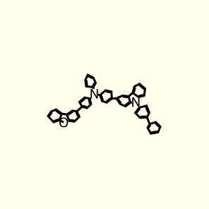 c1ccc(-c2ccc(-n3c4ccccc4c4cc(-c5ccc(N(c6ccccc6)c6ccc(-c7ccc8oc9ccccc9c8c7)cc6)cc5)ccc43)cc2)cc1